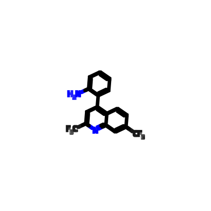 Nc1ccccc1-c1cc(C(F)(F)F)nc2cc(C(F)(F)F)ccc12